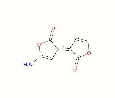 NC1=C/C(=C2/C=COC2=O)C(=O)O1